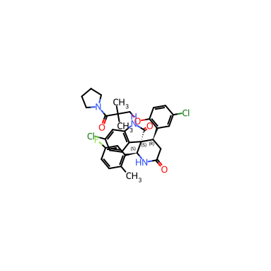 Cc1ccc(F)cc1[C@@H]1NC(=O)C[C@H](c2cc(Cl)ccc2OCC(C)(C)C(=O)N2CCCC2)[C@@]12C(=O)Nc1cc(Cl)ccc12